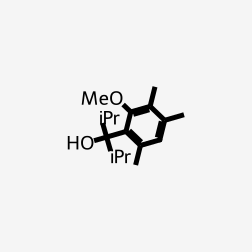 COc1c(C)c(C)cc(C)c1C(O)(C(C)C)C(C)C